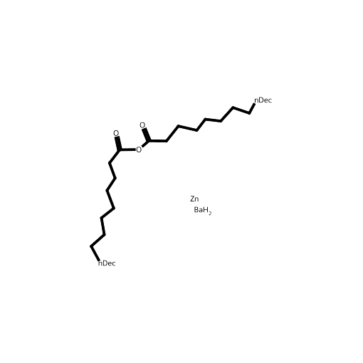 CCCCCCCCCCCCCCCCCC(=O)OC(=O)CCCCCCCCCCCCCCCCC.[BaH2].[Zn]